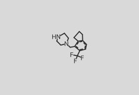 FC(F)(F)c1ccc2c(c1CN1CCNCC1)CCC2